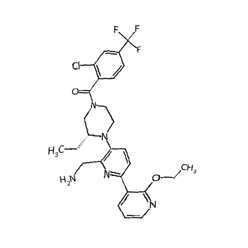 CCOc1ncccc1-c1ccc(N2CCN(C(=O)c3ccc(C(F)(F)F)cc3Cl)C[C@H]2CC)c(CN)n1